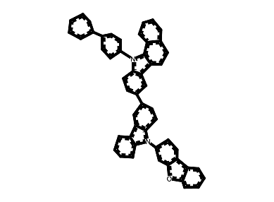 c1ccc(-c2ccc(-n3c4ccc(-c5ccc6c(c5)c5ccccc5n6-c5ccc6c(c5)oc5ccccc56)cc4c4ccc5ccccc5c43)cc2)cc1